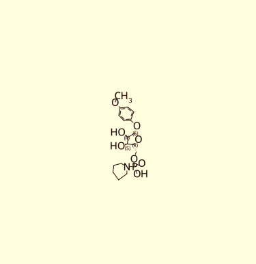 COc1ccc(O[C@@H]2O[C@H](COP(=O)(O)N3CCCCC3)[C@@H](O)[C@H]2O)cc1